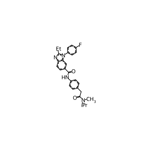 CCc1nc2ccc(C(=O)Nc3ccc(CC(=O)N(C)C(C)C)cc3)cc2n1-c1ccc(F)cc1